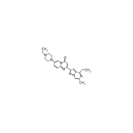 CCc1nc(C)cn2nc(-c3cc(=O)n4cc(N5CCN(CC)CC5)ccc4n3)cc12